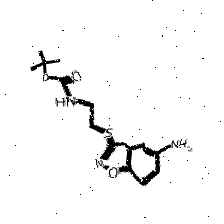 CC(C)(C)OC(=O)NCCSc1noc2ccc(N)cc12